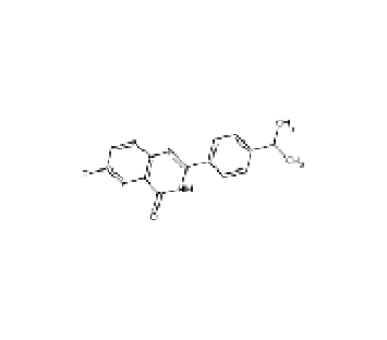 CC(C)c1ccc(-c2nc3ccc(F)cc3c(=O)[nH]2)cc1